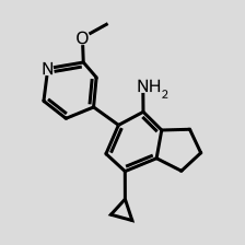 COc1cc(-c2cc(C3CC3)c3c(c2N)CCC3)ccn1